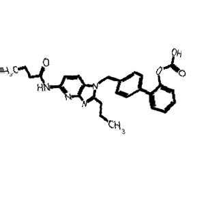 CCCC(=O)Nc1ccc2c(n1)nc(CCC)n2Cc1ccc(-c2ccccc2OC(=O)O)cc1